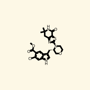 COC(=O)c1cc2c(C[C@H]3COCCN3c3nc4c(s3)C(=O)NC(C)(C)C4)c[nH]c2cc1Cl